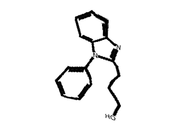 OCCCc1nc2ccccc2n1-c1ccccc1